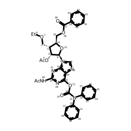 CCOC[C@H]1[C@@H](OC(C)=O)[C@H](n2cnc3c(OC(=O)N(c4ccccc4)c4ccccc4)nc(NC(C)=O)nc32)O[C@@H]1COC(=O)c1ccccc1